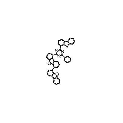 c1ccc(-c2nc(-c3cccc4c3sc3ccccc34)nc(-c3cccc4oc5c(-c6cccc7c6oc6ccccc67)cccc5c34)n2)cc1